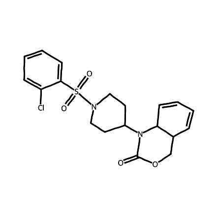 O=C1OCC2C=CC=CC2N1C1CCN(S(=O)(=O)c2ccccc2Cl)CC1